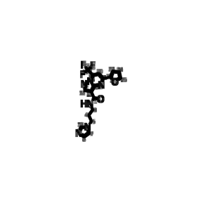 O=C(NCCCn1ccnc1)c1cnn2c(C(F)(F)F)cc(-c3ccco3)nc12